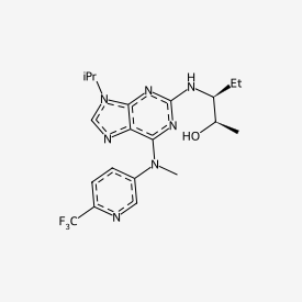 CC[C@H](Nc1nc(N(C)c2ccc(C(F)(F)F)nc2)c2ncn(C(C)C)c2n1)[C@@H](C)O